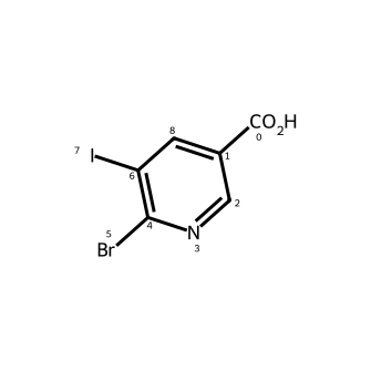 O=C(O)c1cnc(Br)c(I)c1